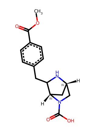 COC(=O)c1ccc(CC2N[C@H]3C[C@@H]2N(C(=O)O)C3)cc1